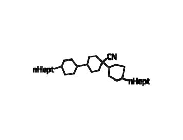 CCCCCCCC1CCC(C2CCC(C#N)(C3CCC(CCCCCCC)CC3)CC2)CC1